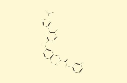 Cc1cnc(Nc2ccc3c(c2)CC(C(=O)Nc2cccc(Cl)c2)NC3)nc1-c1cnn(C(C)C)c1